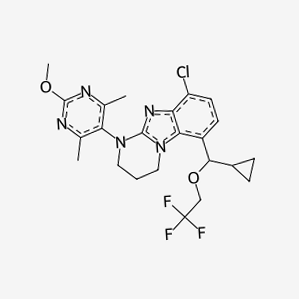 COc1nc(C)c(N2CCCn3c2nc2c(Cl)ccc(C(OCC(F)(F)F)C4CC4)c23)c(C)n1